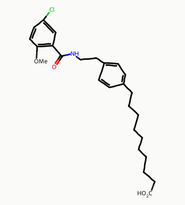 COc1ccc(Cl)cc1C(=O)NCCc1ccc(CCCCCCCCCC(=O)O)cc1